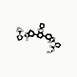 CC(C)(C)OC(=O)N1CCC[C@H]1c1nc2ccc(-c3ccc(-c4ccc5nc([C@@H]6CCCN6C(=O)OC(C)(C)C)[nH]c5c4)c4c3OC3(CCCC3)O4)cc2[nH]1